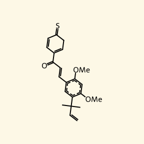 C=CC(C)(C)c1cc(C=CC(=O)C2=CCC(=S)C=C2)c(OC)cc1OC